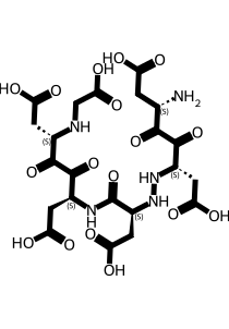 N[C@@H](CC(=O)O)C(=O)C(=O)[C@H](CC(=O)O)NN[C@@H](CC(=O)O)C(=O)N[C@@H](CC(=O)O)C(=O)C(=O)[C@H](CC(=O)O)NCC(=O)O